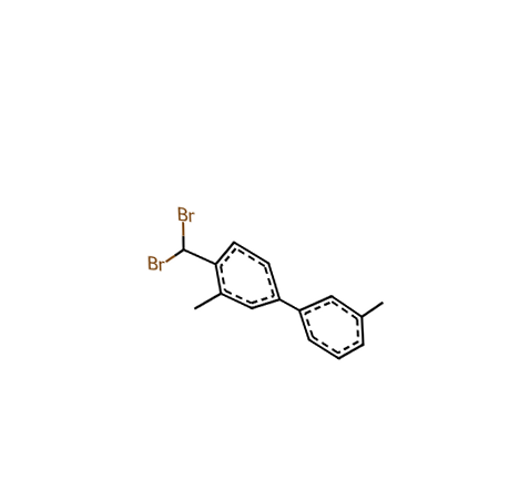 Cc1cccc(-c2ccc(C(Br)Br)c(C)c2)c1